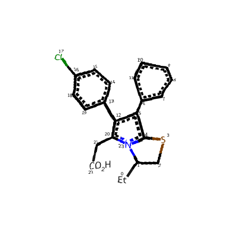 CCC1CSc2c(-c3ccccc3)c(-c3ccc(Cl)cc3)c(CC(=O)O)n21